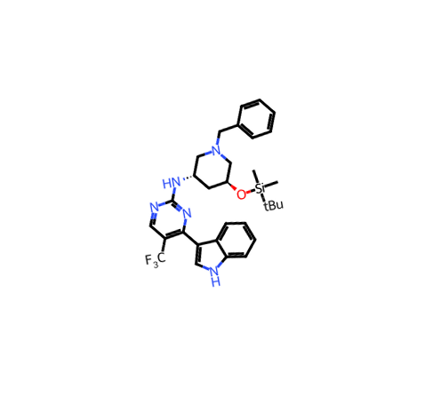 CC(C)(C)[Si](C)(C)O[C@H]1C[C@H](Nc2ncc(C(F)(F)F)c(-c3c[nH]c4ccccc34)n2)CN(Cc2ccccc2)C1